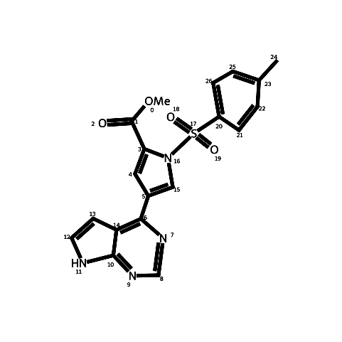 COC(=O)c1cc(-c2ncnc3[nH]ccc23)cn1S(=O)(=O)c1ccc(C)cc1